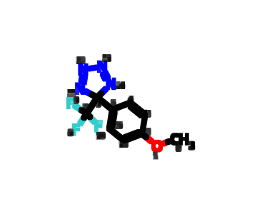 COc1[c]cc(C2(C(F)(F)F)N=NN=N2)cc1